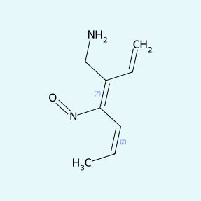 C=C/C(CN)=C(\C=C/C)N=O